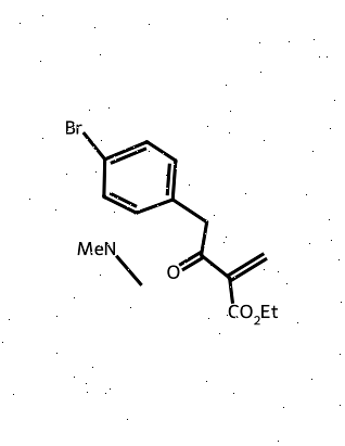 C=C(C(=O)Cc1ccc(Br)cc1)C(=O)OCC.CNC